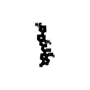 Cc1cn(-c2ccc(CNC[C@H](O)c3ccc4c(c3C)COC4=O)c(C)n2)cn1